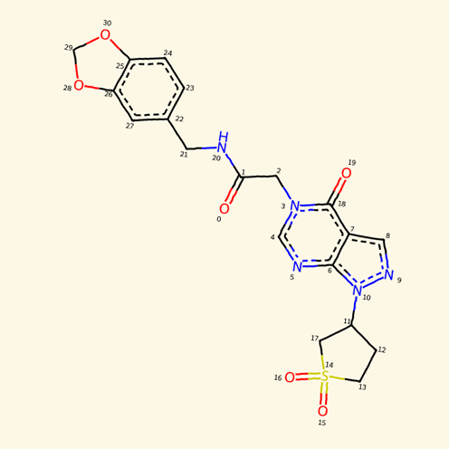 O=C(Cn1cnc2c(cnn2C2CCS(=O)(=O)C2)c1=O)NCc1ccc2c(c1)OCO2